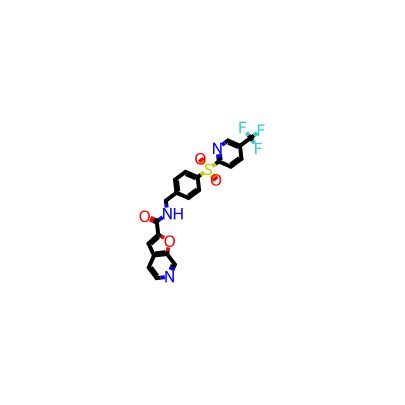 O=C(NCc1ccc(S(=O)(=O)c2ccc(C(F)(F)F)cn2)cc1)c1cc2ccncc2o1